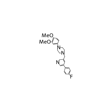 COc1ccc(N2CCN(Cc3cncc(-c4ccc(F)cc4)c3)CC2)cc1OC